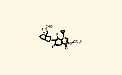 O=CNCC12CN(c3c(F)cc4c(=O)c(OC(=O)O)cn(C5CC5)c4c3F)CC1CCO2